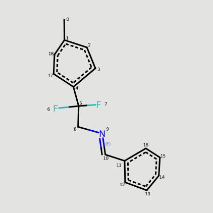 Cc1ccc(C(F)(F)C/N=C/c2ccccc2)cc1